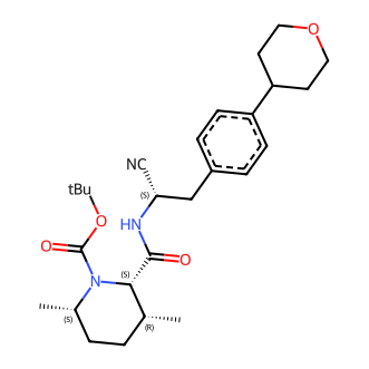 C[C@@H]1CC[C@H](C)N(C(=O)OC(C)(C)C)[C@@H]1C(=O)N[C@H](C#N)Cc1ccc(C2CCOCC2)cc1